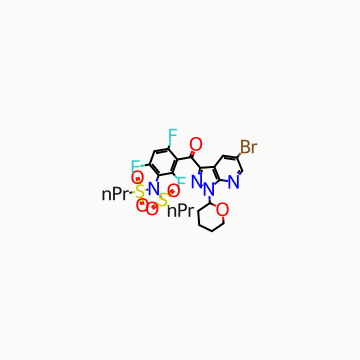 CCCS(=O)(=O)N(c1c(F)cc(F)c(C(=O)c2nn(C3CCCCO3)c3ncc(Br)cc23)c1F)S(=O)(=O)CCC